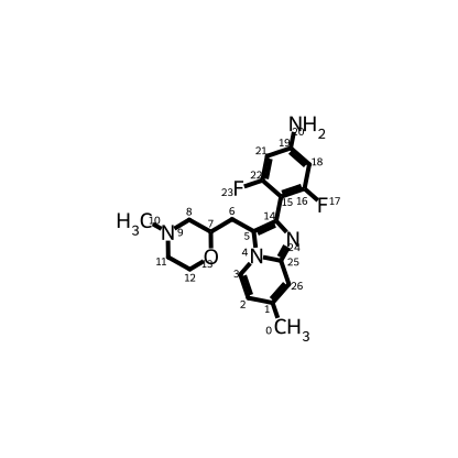 Cc1ccn2c(CC3CN(C)CCO3)c(-c3c(F)cc(N)cc3F)nc2c1